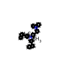 Cc1cc(-c2cccc(-n3c4ccccc4c4ccccc43)c2)cc(C)c1N(c1ccc(-c2cccc3ccccc23)cc1)c1ccc(-c2cccc3ccccc23)cc1